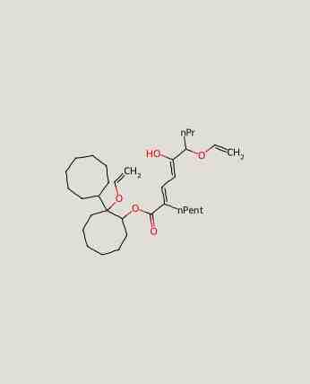 C=COC(CCC)C(O)=CC=C(CCCCC)C(=O)OC1CCCCCCC1(OC=C)C1CCCCCCC1